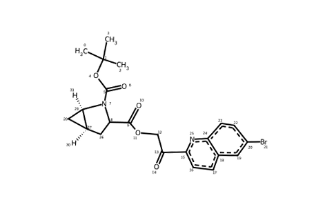 CC(C)(C)OC(=O)N1C(C(=O)OCC(=O)c2ccc3cc(Br)ccc3n2)C[C@H]2C[C@H]21